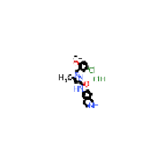 COc1ccc(Cl)cc1Cn1nc(C(=O)Nc2ccc3c(c2)CCNC3)cc1C.Cl